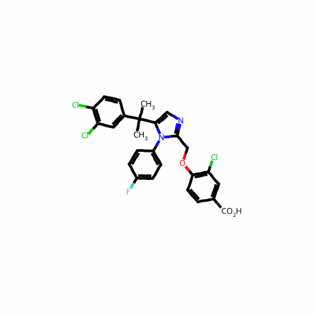 CC(C)(c1ccc(Cl)c(Cl)c1)c1cnc(COc2ccc(C(=O)O)cc2Cl)n1-c1ccc(F)cc1